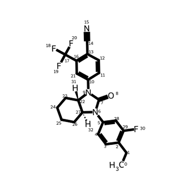 CCc1ccc(N2C(=O)N(c3ccc(C#N)c(C(F)(F)F)c3)[C@H]3CCCC[C@@H]32)cc1F